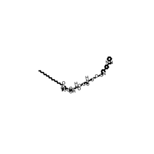 CCCCCCCCCCCCCCCCCC(=O)OCC(COP(=O)(O)OCCNC(=O)OCCOCC(=O)NCCOCCOCCOc1ccc(-c2ccc(-c3cnc4ccccc4n3)cc2)cn1)OC(C)=O